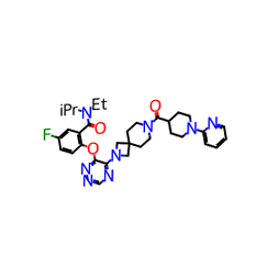 CCN(C(=O)c1cc(F)ccc1Oc1nncnc1N1CC2(CCN(C(=O)C3CCN(c4ccccn4)CC3)CC2)C1)C(C)C